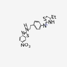 CCC1CS/C(=N\c2ccc(CCNc3nc4ccc([N+](=O)[O-])cc4s3)cc2)N1